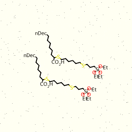 CCCCCCCCCCCCCCCCC(SCCCCCCSCCC[Si](OCC)(OCC)OCC)C(=O)O.CCCCCCCCCCCCCCCCC(SCCCCCCSCCC[Si](OCC)(OCC)OCC)C(=O)O